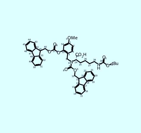 COc1ccc(CN(C(=O)OCC2c3ccccc3-c3ccccc32)[C@@H](CCCCNC(=O)OC(C)(C)C)C(=O)O)c(OC(=O)OCC2c3ccccc3-c3ccccc32)c1